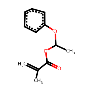 C=C(C)C(=O)OC(C)Oc1ccccc1